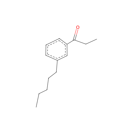 CCCCCc1cccc(C(=O)CC)c1